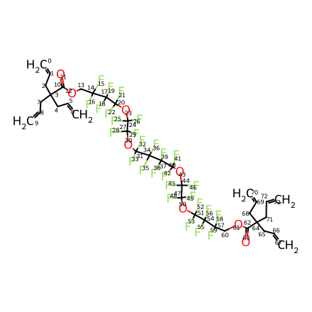 C=CCC(CC=C)(CC=C)C(=O)OCC(F)(F)C(F)(F)C(F)(F)OC(F)(F)C(F)(F)OC(F)(F)C(F)(F)C(F)(F)C(F)(F)OC(F)(F)C(F)(F)OC(F)(F)C(F)(F)C(F)(F)COC(=O)C(CC=C)(CC=C)CC=C